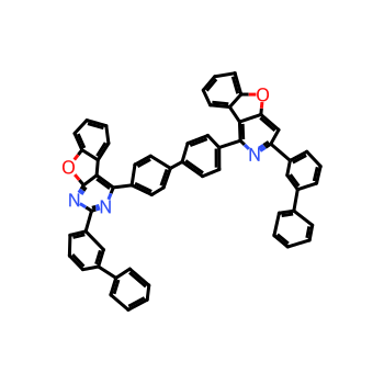 c1ccc(-c2cccc(-c3cc4oc5ccccc5c4c(-c4ccc(-c5ccc(-c6nc(-c7cccc(-c8ccccc8)c7)nc7oc8ccccc8c67)cc5)cc4)n3)c2)cc1